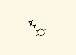 CC1CCC(C(C)C)C(OC(=O)C2(C)CC2C)C1